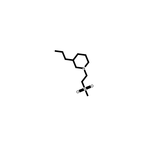 [CH2]CCC1CCCN(CCS(C)(=O)=O)C1